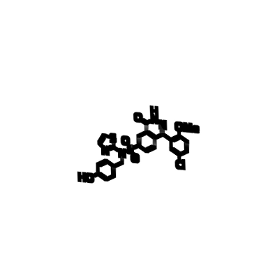 COc1ccc(Cl)cc1-c1n[nH]c(=O)c2cc(S(=O)(=O)N(Cc3ccc(O)cc3)c3nccs3)ccc12